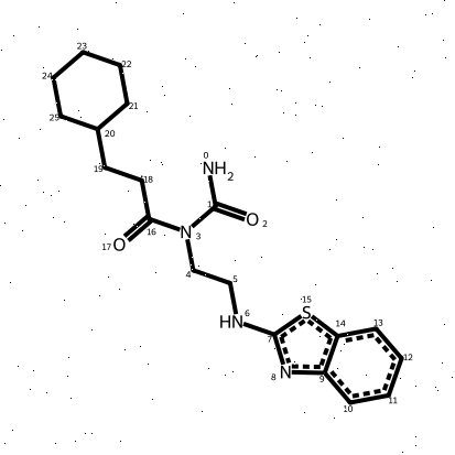 NC(=O)N(CCNc1nc2ccccc2s1)C(=O)[CH]CC1CCCCC1